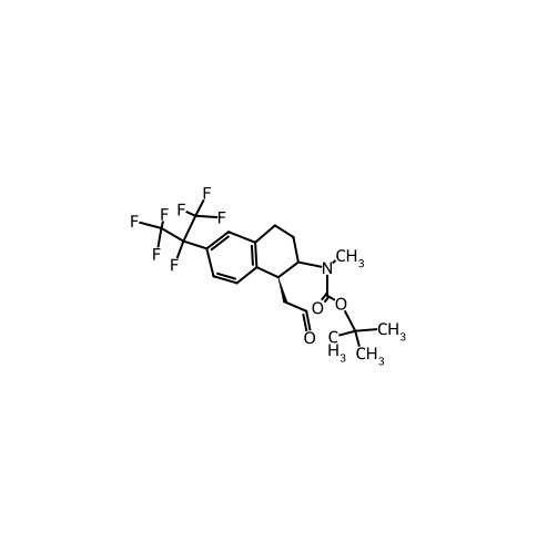 CN(C(=O)OC(C)(C)C)C1CCc2cc(C(F)(C(F)(F)F)C(F)(F)F)ccc2[C@@H]1CC=O